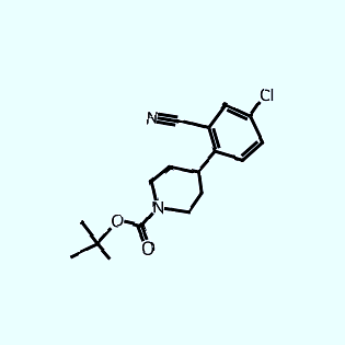 CC(C)(C)OC(=O)N1CCC(c2ccc(Cl)cc2C#N)CC1